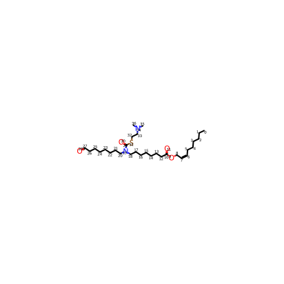 CCCCCC/C=C\COC(=O)CCCCCCCN(CCCCCCCC=O)C(=O)SCCN(C)C